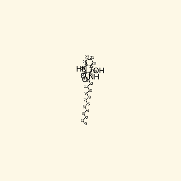 CCCCCCCCCCCCCC(=O)Nc1c(O)c2ccccc2[nH]c1=O